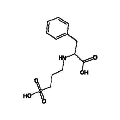 O=C(O)C(Cc1ccccc1)NCCCS(=O)(=O)O